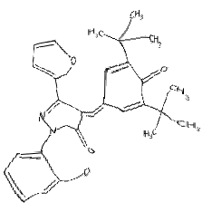 CC(C)(C)C1=CC(=C2C(=O)N(c3ccccc3Cl)N=C2c2ccco2)C=C(C(C)(C)C)C1=O